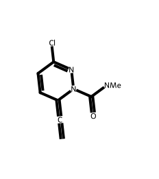 C=C=C1C=CC(Cl)=NN1C(=O)NC